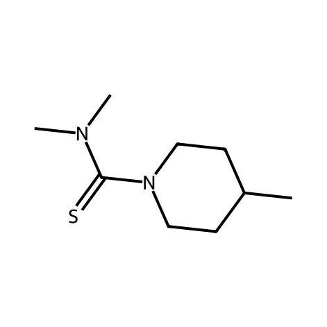 CC1CCN(C(=S)N(C)C)CC1